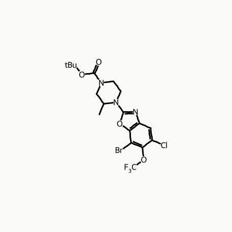 CC1CN(C(=O)OC(C)(C)C)CCN1c1nc2cc(Cl)c(OC(F)(F)F)c(Br)c2o1